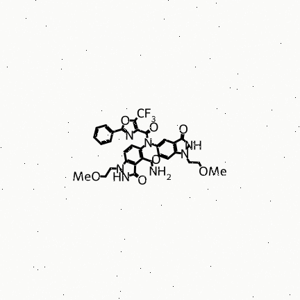 COCCn1[nH]c(=O)c2cc(N(C(=O)c3nc(-c4ccccc4)oc3C(F)(F)F)c3ccc4c(c3C(N)=O)c(=O)[nH]n4CCOC)ccc21